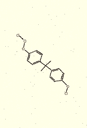 CC(C)(c1ccc(OCl)cc1)c1ccc(OOCl)cc1